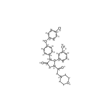 O=C(CN1CCOCC1)N1CC(=O)N(c2ccc(Oc3ccc(Cl)cc3)cc2)C1c1cccc(C(F)(F)F)c1